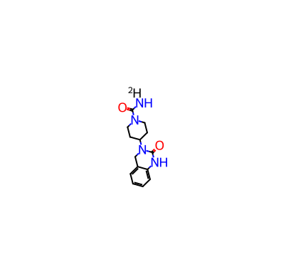 [2H]NC(=O)N1CCC(N2Cc3ccccc3NC2=O)CC1